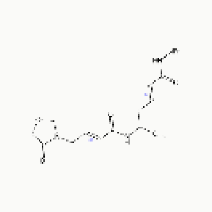 CC(C)NC(=O)/C=C/CC(C)NC(=O)/C=C/CN1COCC1=O